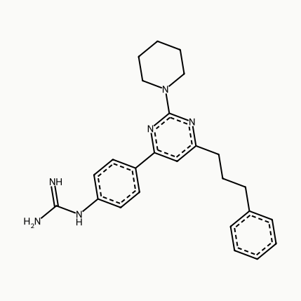 N=C(N)Nc1ccc(-c2cc(CCCc3ccccc3)nc(N3CCCCC3)n2)cc1